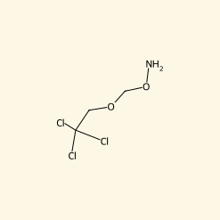 NOCOCC(Cl)(Cl)Cl